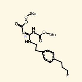 CC(C)(C)OOC(=O)/N=C(/NCCc1ccc(CCCF)cc1)NC(=O)OC(C)(C)C